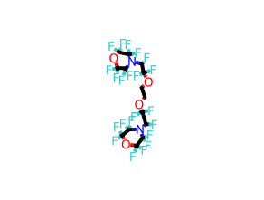 FC(N1C(F)(F)C(F)(F)OC(F)(F)C1(F)F)C(F)(F)OCCOC(F)(F)C(F)N1C(F)(F)C(F)(F)OC(F)(F)C1(F)F